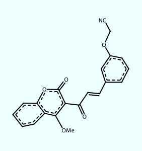 COc1c(C(=O)C=Cc2cccc(OCC#N)c2)c(=O)oc2ccccc12